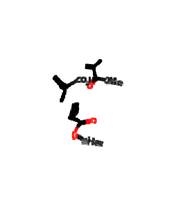 C=C(C)C(=O)O.C=C(C)C(=O)OC.C=CC(=O)OCCCCCC